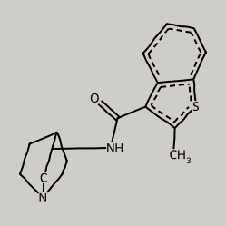 Cc1sc2ccccc2c1C(=O)NC1CN2CCC1CC2